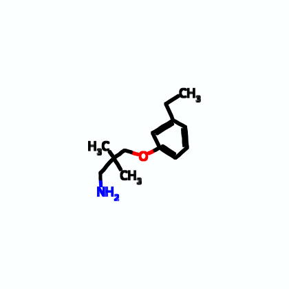 CCc1cccc(OCC(C)(C)CN)c1